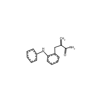 C=C(Cc1ccccc1Nc1ccccc1)C(N)=O